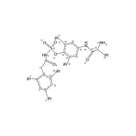 CC(C)c1cc(C(C)C)c(CC(=O)NS(=O)(=O)Oc2c(C(C)C)cc(NC(=O)C(N)C(C)C)cc2C(C)C)c(C(C)C)c1